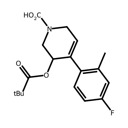 Cc1cc(F)ccc1C1=CCN(C(=O)O)CC1OC(=O)C(C)(C)C